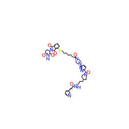 O=C(/C=C/c1cccnc1)NCCCCC1CCN(C(=O)c2ccc(N3CCN(C(=O)CCCCCCSc4cccc5c4C(=O)N(C4CCC(=O)NC4=O)C5=O)CC3)nn2)CC1